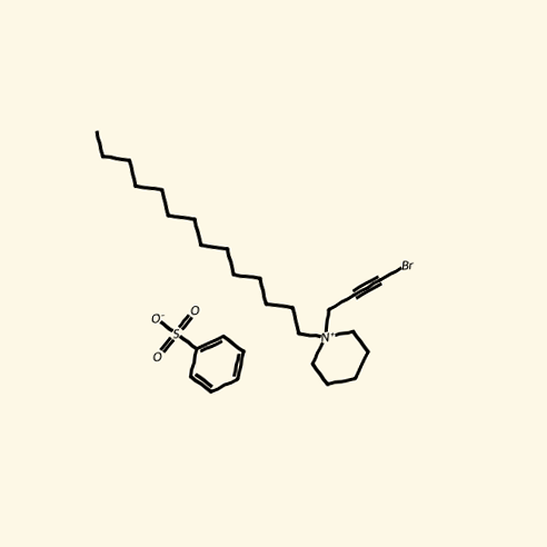 CCCCCCCCCCCCCC[N+]1(CC#CBr)CCCCC1.O=S(=O)([O-])c1ccccc1